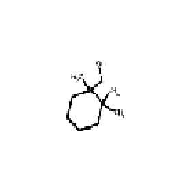 CC1(C)CCCCC1(C)CO